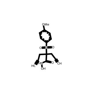 C#CCC(CC#C)(C(=O)NO)S(=O)(=O)c1ccc(OC)cc1